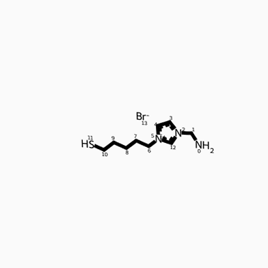 NCn1cc[n+](CCCCCS)c1.[Br-]